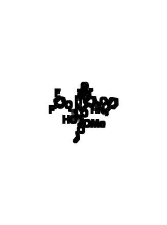 C=CCOC[C@@H](C[C@H](O)[C@H](COc1cc(F)cc(F)c1)NC(=O)c1cc(C(=O)N[C@H](C)c2ccccc2)cc(N(C)S(C)(=O)=O)c1)OC